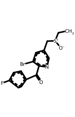 CC[S+]([O-])Cc1cnc(C(=O)c2ccc(F)cc2)c(Br)c1